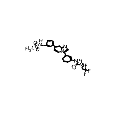 CS(=O)(=O)NCc1cccc(-c2ccn3c(-c4cccc(NC(=O)NCC(F)(F)F)c4)cnc3c2)c1